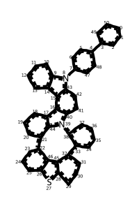 c1ccc(-c2ccc(-n3c4ccccc4c4c5c6cccc7c8cccc9sc%10cccc(c%11ccccc%11n(c5ccc43)c76)c%10c98)cc2)cc1